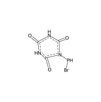 O=c1[nH]c(=O)n(PBr)c(=O)[nH]1